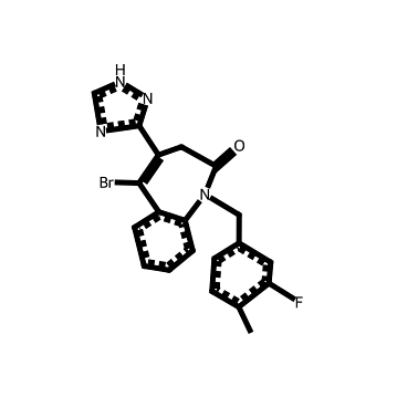 Cc1ccc(CN2C(=O)CC(c3nc[nH]n3)=C(Br)c3ccccc32)cc1F